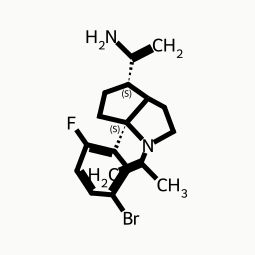 C=C(N)[C@H]1CC[C@@]2(c3cc(Br)ccc3F)C1CCN2C(=C)C